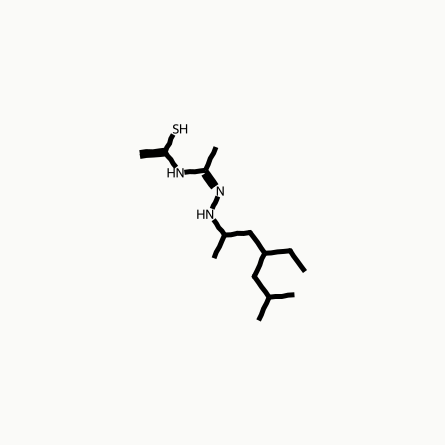 C=C(S)N/C(C)=N\NC(C)CC(CC)CC(C)C